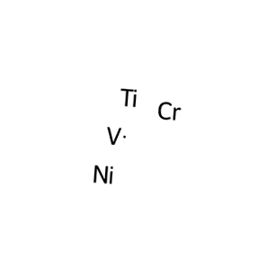 [Cr].[Ni].[Ti].[V]